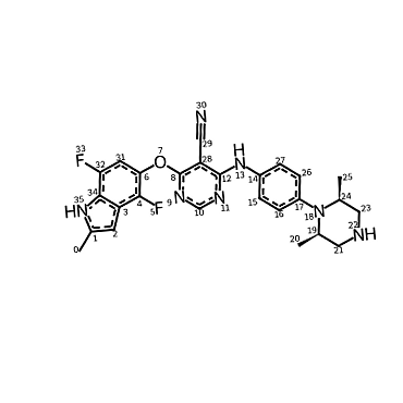 Cc1cc2c(F)c(Oc3ncnc(Nc4ccc(N5[C@H](C)CNC[C@@H]5C)cc4)c3C#N)cc(F)c2[nH]1